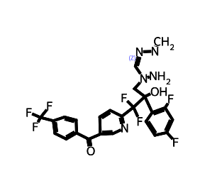 C=N/N=C\N(N)CC(O)(c1ccc(F)cc1F)C(F)(F)c1ccc(C(=O)c2ccc(C(F)(F)F)cc2)cn1